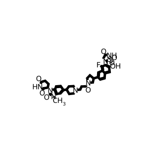 Cn1c(=O)n(C2CCC(=O)NC2=O)c2ccc(C3CCN(CCC(=O)N4CCC(c5ccc6cc(O)c(N7CC(=O)NS7(=O)=O)c(F)c6c5)C4)CC3)cc21